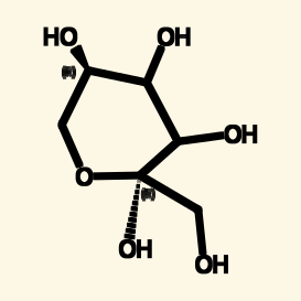 OC[C@@]1(O)OC[C@@H](O)C(O)C1O